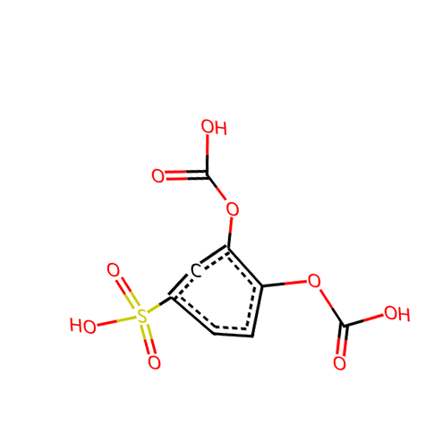 O=C(O)Oc1ccc(S(=O)(=O)O)cc1OC(=O)O